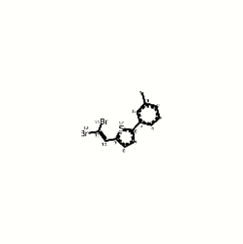 Cc1cccc(-c2ccc(C=C(Br)Br)s2)c1